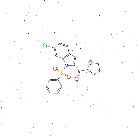 O=C(c1ccco1)c1cc2ccc(Cl)cc2n1S(=O)(=O)c1ccccc1